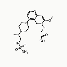 COc1cc2nccc(N3CCN(C(C)CNS(N)(=O)=O)CC3)c2cc1OC.O=CO